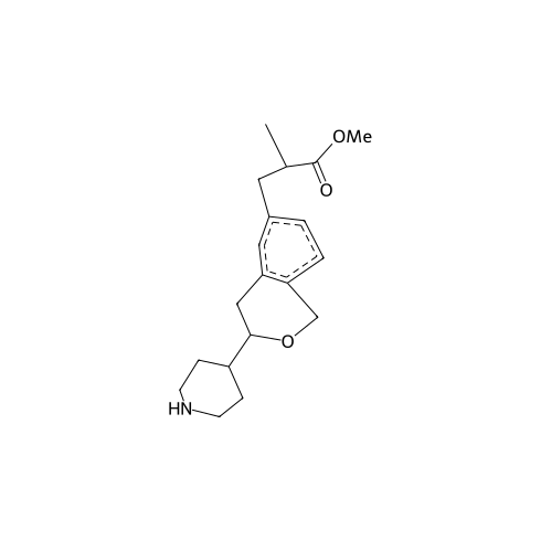 COC(=O)C(C)Cc1ccc2c(c1)CC(C1CCNCC1)OC2